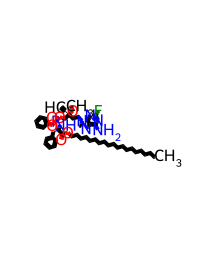 C#C[C@](CCn1cnc2c(N)nc(F)nc21)(COP(=O)(N[C@@H](Cc1ccccc1)C(=O)OCCCCCCCCCCCCCCCCCCCC)Oc1ccccc1)OC